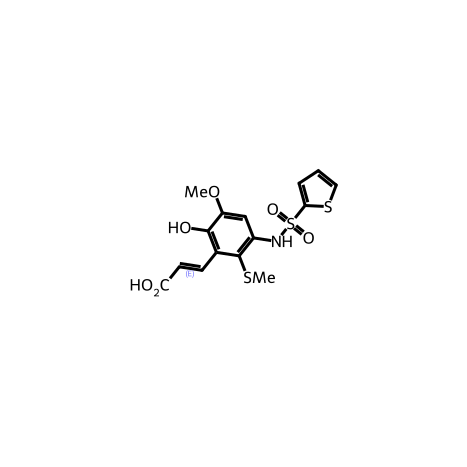 COc1cc(NS(=O)(=O)c2cccs2)c(SC)c(/C=C/C(=O)O)c1O